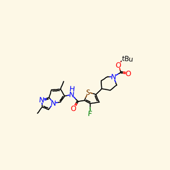 Cc1cn2cc(NC(=O)c3sc(C4CCN(C(=O)OC(C)(C)C)CC4)cc3F)c(C)cc2n1